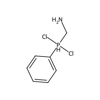 NC[PH](Cl)(Cl)c1ccccc1